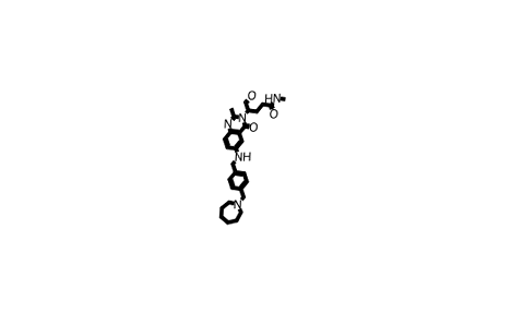 CNC(=O)CCC(C=O)n1c(C)nc2ccc(NCc3ccc(CN4CCCCCC4)cc3)cc2c1=O